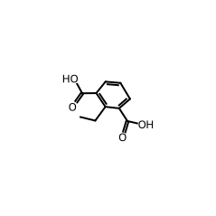 CCc1c(C(=O)O)cccc1C(=O)O